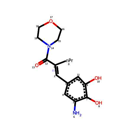 CCC/C(=C\c1cc(N)c(O)c(O)c1)C(=O)N1CCOCC1